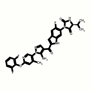 Cc1cc(Oc2c(F)cccc2F)ncc1-n1ncc(C(=O)c2cc3cc(F)c(N4C(=O)N[C@@H](C(C)C)C4=O)cc3[nH]2)c1N